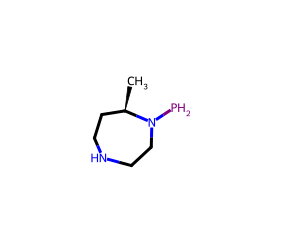 C[C@@H]1CCNCCN1P